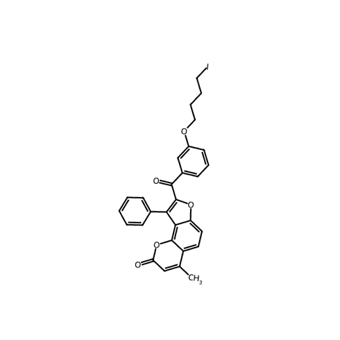 Cc1cc(=O)oc2c1ccc1oc(C(=O)c3cccc(OCCCCI)c3)c(-c3ccccc3)c12